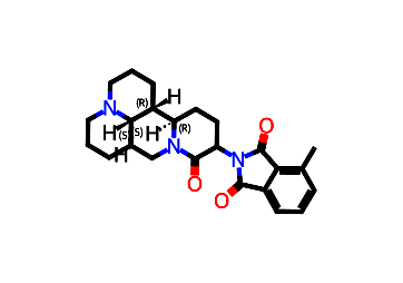 Cc1cccc2c1C(=O)N(C1CC[C@@H]3[C@H]4CCCN5CCC[C@@H](CN3C1=O)[C@@H]45)C2=O